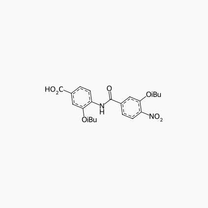 CC(C)COc1cc(C(=O)O)ccc1NC(=O)c1ccc([N+](=O)[O-])c(OCC(C)C)c1